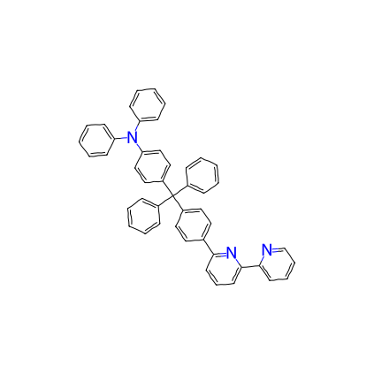 c1ccc(N(c2ccccc2)c2ccc(C(c3ccccc3)(c3ccccc3)c3ccc(-c4cccc(-c5ccccn5)n4)cc3)cc2)cc1